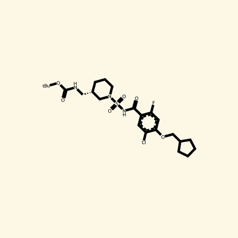 CC(C)(C)OC(=O)NC[C@@H]1CCCN(S(=O)(=O)NC(=O)c2cc(Cl)c(OCC3CCCC3)cc2F)C1